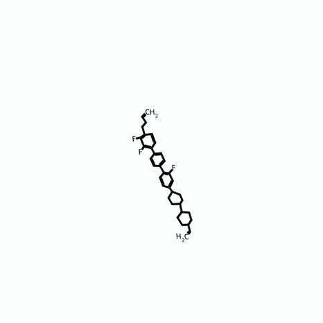 C=CCCc1ccc(-c2ccc(-c3ccc(C4CCC(C5CCC(C=C)CC5)CC4)cc3F)cc2)c(F)c1F